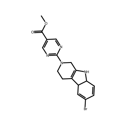 COC(=O)c1cnc(N2CCC3=C(C2)NC2C=CC(Br)=CC32)nc1